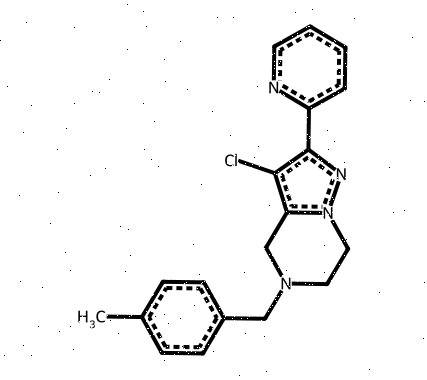 Cc1ccc(CN2CCn3nc(-c4ccccn4)c(Cl)c3C2)cc1